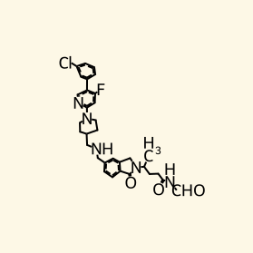 CC(CCC(=O)NC=O)N1Cc2cc(CNCC3CCN(c4cc(F)c(-c5cccc(Cl)c5)cn4)CC3)ccc2C1=O